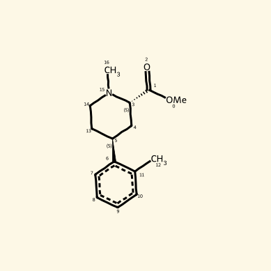 COC(=O)[C@@H]1C[C@@H](c2ccccc2C)CCN1C